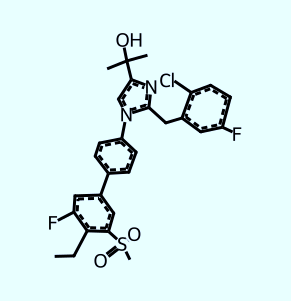 CCc1c(F)cc(-c2ccc(-n3cc(C(C)(C)O)nc3Cc3cc(F)ccc3Cl)cc2)cc1S(C)(=O)=O